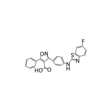 O=C(O)c1c(-c2ccc(Nc3nc4ccc(F)cc4s3)cc2)noc1-c1ccccc1